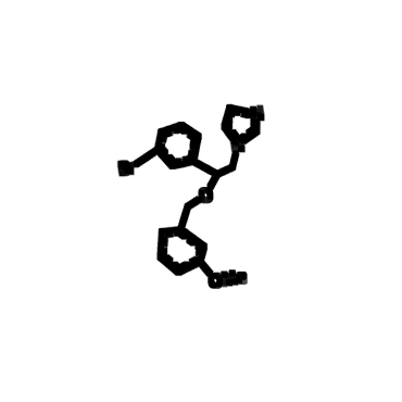 COc1cccc(COC(Cn2ccnc2)c2cccc(Br)c2)c1